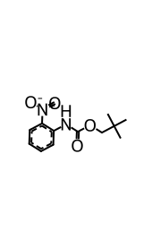 CC(C)(C)COC(=O)Nc1ccccc1[N+](=O)[O-]